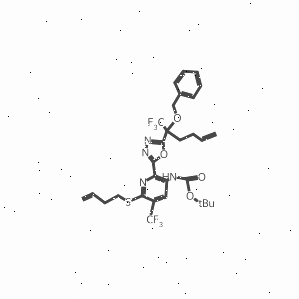 C=CCCSc1nc(-c2nnc(C(CCC=C)(OCc3ccccc3)C(F)(F)F)o2)c(NC(=O)OC(C)(C)C)cc1C(F)(F)F